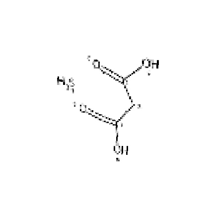 O=C(O)CC(=O)O.S